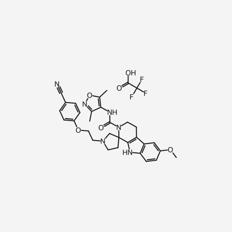 COc1ccc2[nH]c3c(c2c1)CCN(C(=O)Nc1c(C)noc1C)C31CCN(CCOc2ccc(C#N)cc2)C1.O=C(O)C(F)(F)F